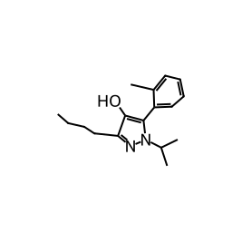 CCCCc1nn(C(C)C)c(-c2ccccc2C)c1O